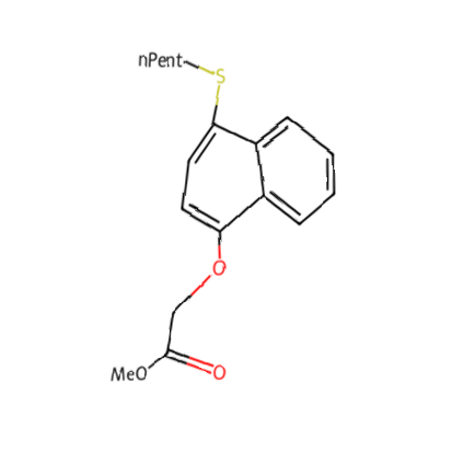 CCCCCSc1ccc(OCC(=O)OC)c2ccccc12